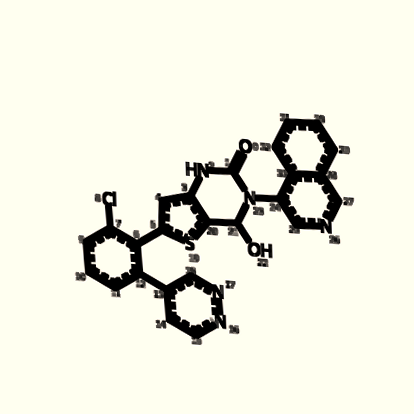 O=C1Nc2cc(-c3c(Cl)cccc3-c3ccnnc3)sc2C(O)N1c1cncc2ccccc12